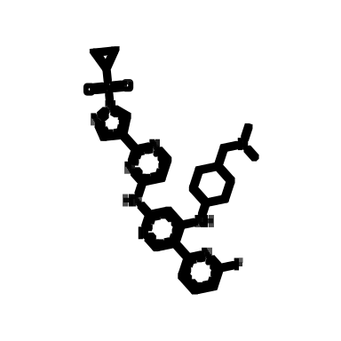 CN(C)CC1CCC(Nc2cc(Nc3ccnc(-c4cnn(S(=O)(=O)C5CC5)c4)n3)ncc2-c2cccc(F)n2)CC1